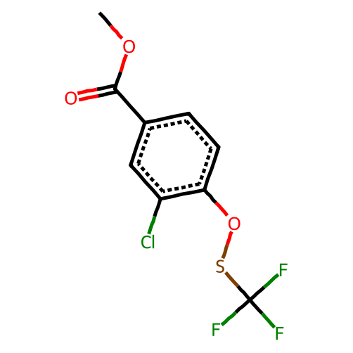 COC(=O)c1ccc(OSC(F)(F)F)c(Cl)c1